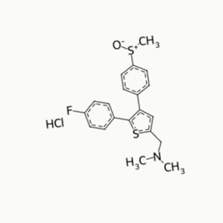 CN(C)Cc1cc(-c2ccc([S+](C)[O-])cc2)c(-c2ccc(F)cc2)s1.Cl